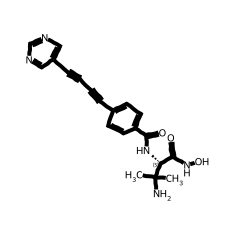 CC(C)(N)[C@H](NC(=O)c1ccc(C#CC#Cc2cncnc2)cc1)C(=O)NO